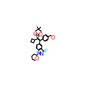 CC1(C)COB(/C(=C(\c2ccc(C=O)cc2)c2ccc3c(c2)c(F)nn3C2CCCCO2)C2CCC2)OC1